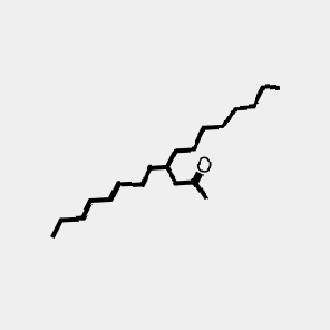 CCCCCCCCC(CCCCCCCC)CC(C)=O